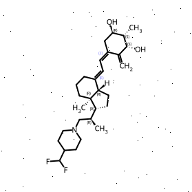 C=C1/C(=C\C=C2/CCC[C@]3(C)[C@@H]([C@@H](C)CN4CCC(C(F)F)CC4)CC[C@@H]23)C[C@@H](O)[C@H](C)[C@@H]1O